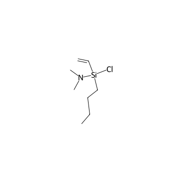 C=C[Si](Cl)(CCCC)N(C)C